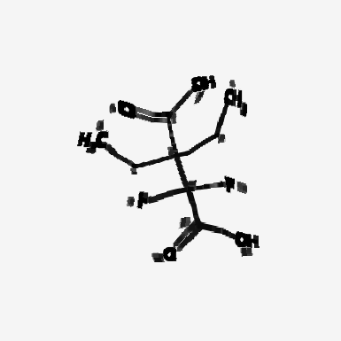 CCC(CC)(C(=O)O)C(F)(F)C(=O)O